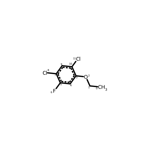 CCOc1cc(F)c(Cl)cc1Cl